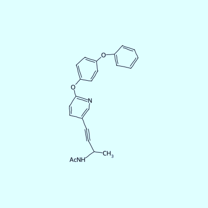 CC(=O)NC(C)C#Cc1ccc(Oc2ccc(Oc3ccccc3)cc2)nc1